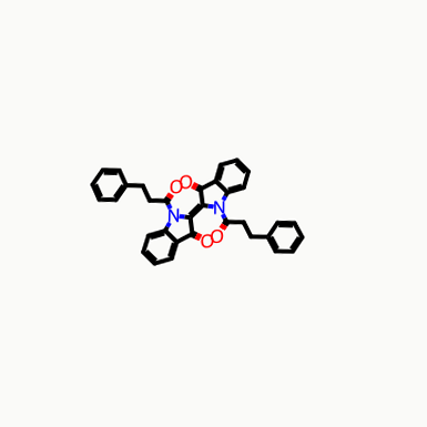 O=C1C(=C2C(=O)c3ccccc3N2C(=O)CCc2ccccc2)N(C(=O)CCc2ccccc2)c2ccccc21